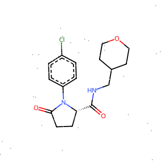 O=C(NCC1CCOCC1)[C@@H]1CCC(=O)N1c1ccc(Cl)cc1